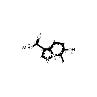 COC(=O)c1cnn2c(C)c(O)ccc12